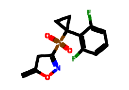 C=C1CC(S(=O)(=O)C2(c3c(F)cccc3F)CC2)=NO1